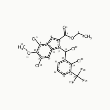 CCOC(=O)c1cc2c(Cl)c(OC)c(Cl)cc2n1C(Cl)c1cccc(C(F)(F)F)c1Cl